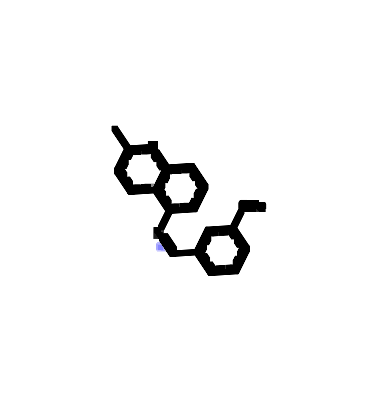 COc1cccc(/C=N\c2cccc3nc(C)ccc23)c1